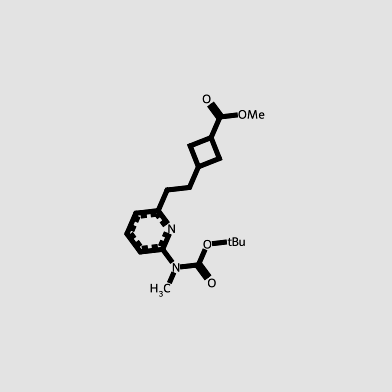 COC(=O)C1CC(CCc2cccc(N(C)C(=O)OC(C)(C)C)n2)C1